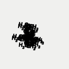 CC(C)(C)c1ccc(N2B3c4oc5ccc(C(C)(C)C)cc5c4-n4c5cc6c(cc5c5c7sc8ccccc8c7c(c3c54)-c3cc4c(cc32)oc2cc3c(cc24)C(C)(C)CCC3(C)C)C(C)(C)CCC6(C)C)cc1